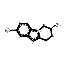 Cc1ccc2c(c1)nc1n2C[C@@H](C)CC1